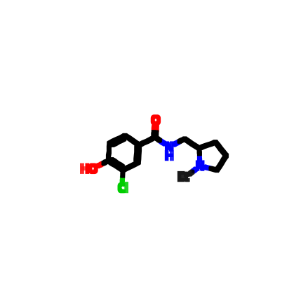 CCN1CCCC1CNC(=O)c1ccc(O)c(Cl)c1